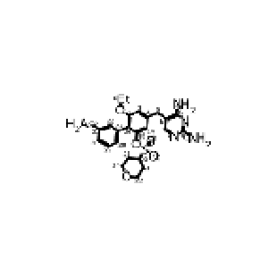 CCOc1cc(Cc2cnc(N)nc2N)cc(OS(=O)(=O)C2CCOCC2)c1-c1cccc([AsH2])c1